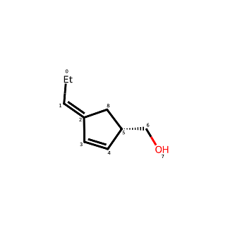 CC/C=C1/C=C[C@@H](CO)C1